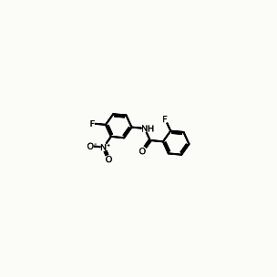 O=C(Nc1ccc(F)c([N+](=O)[O-])c1)c1ccccc1F